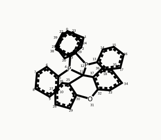 c1ccc(P(c2ccccc2)C2(P(c3ccccc3)c3ccccc3)c3ccccc3Oc3ccccc32)cc1